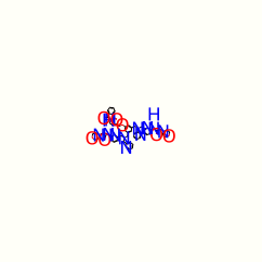 O=C(CN1CCOCC1)Nc1cccc(CN(Cc2cc(CN(Cc3cccc(NC(=O)CN4CCOCC4)n3)c3ccccn3)cc(OCCCCN3C(=O)c4ccccc4C3=O)c2)Cc2ccccn2)n1